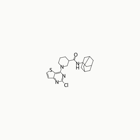 O=C(NC12CC3CC(CC(C3)C1)C2)C1CCCN(c2nc(Cl)nc3ccsc23)C1